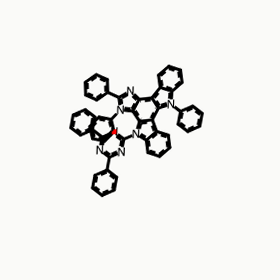 c1ccc(-c2nc(-c3ccccc3)nc(-n3c4ccccc4c4c5c(c6ccccc6n5-c5ccccc5)c5nc(-c6ccccc6)n(-c6ccccc6)c5c43)n2)cc1